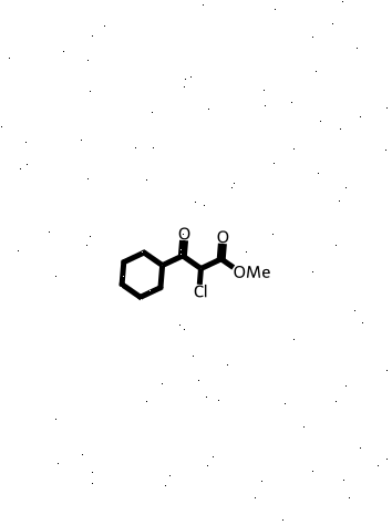 COC(=O)C(Cl)C(=O)C1CCCCC1